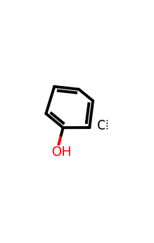 Oc1ccccc1.[C]